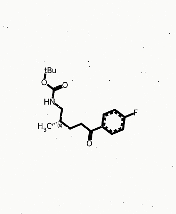 C[C@@H](CCC(=O)c1ccc(F)cc1)CNC(=O)OC(C)(C)C